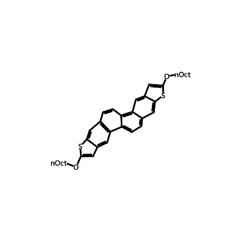 CCCCCCCCOc1cc2cc3c(ccc4c5cc6cc(OCCCCCCCC)sc6cc5ccc34)cc2s1